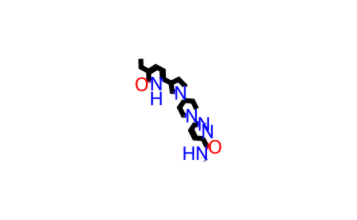 CCc1ccc(C2CCN(C3CCN(c4ccc(C(=O)NC)nn4)CC3)C2)[nH]c1=O